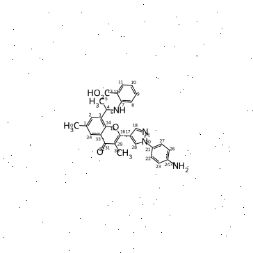 Cc1cc(C(C)Nc2ccccc2C(=O)O)c2oc(-c3cnn(-c4ccc(N)cc4)c3)c(C)c(=O)c2c1